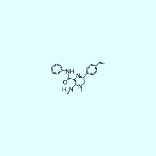 C=Cc1ccc(C2=NC(C(=O)Nc3ccccc3)=C(N)N(C)C2)cc1